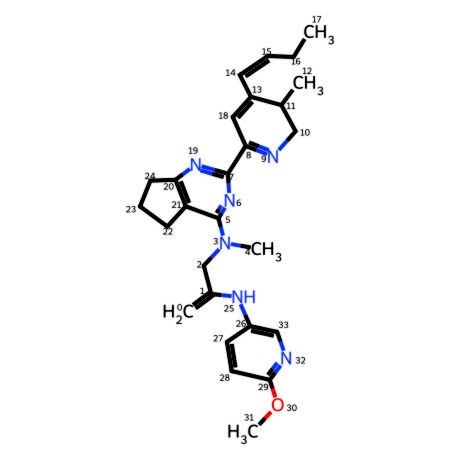 C=C(CN(C)c1nc(C2=NCC(C)C(/C=C\CC)=C2)nc2c1CCC2)Nc1ccc(OC)nc1